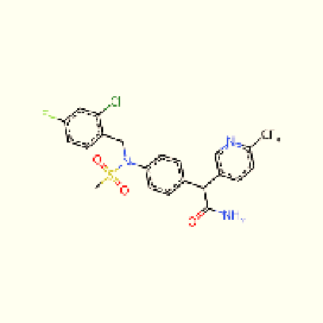 CS(=O)(=O)N(Cc1ccc(F)cc1Cl)c1ccc(C(C(N)=O)c2ccc(C(F)(F)F)nc2)cc1